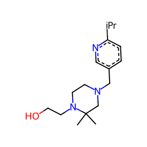 CC(C)c1ccc(CN2CCN(CCO)C(C)(C)C2)cn1